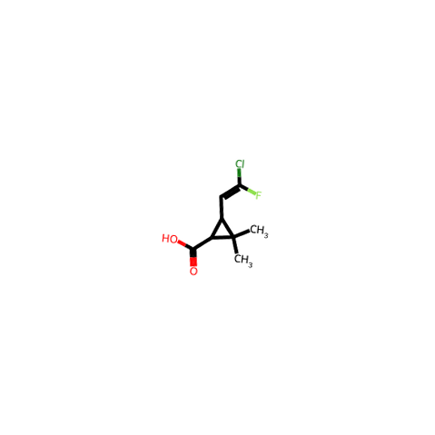 CC1(C)C(/C=C(\F)Cl)C1C(=O)O